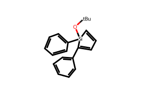 CC(C)(C)O[Si]1(c2ccccc2)C=CC=C1c1ccccc1